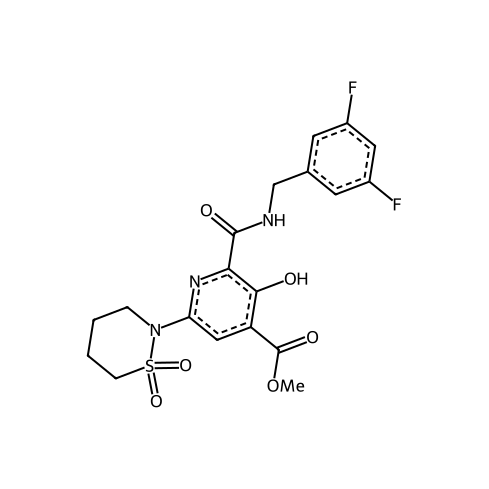 COC(=O)c1cc(N2CCCCS2(=O)=O)nc(C(=O)NCc2cc(F)cc(F)c2)c1O